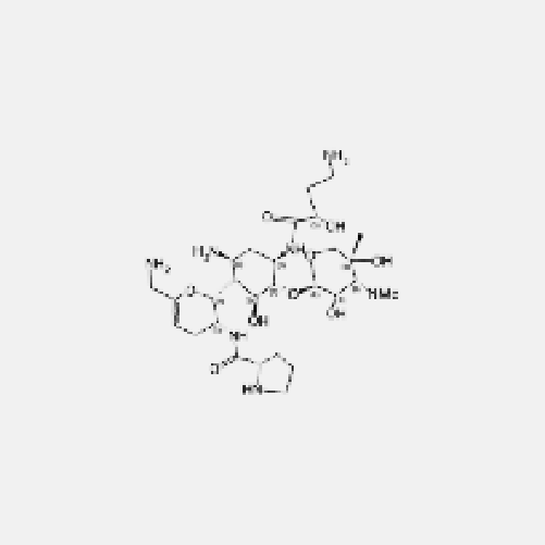 CN[C@@H]1[C@@H](O)[C@@H](O[C@H]2[C@H](NC(=O)[C@@H](O)CCN)C[C@H](N)C([C@H]3OC(CN)=CC[C@H]3NC(=O)C3CCCN3)[C@@H]2O)OC[C@]1(C)O